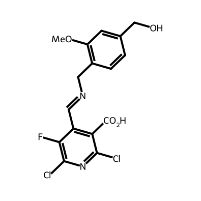 COc1cc(CO)ccc1C/N=C/c1c(F)c(Cl)nc(Cl)c1C(=O)O